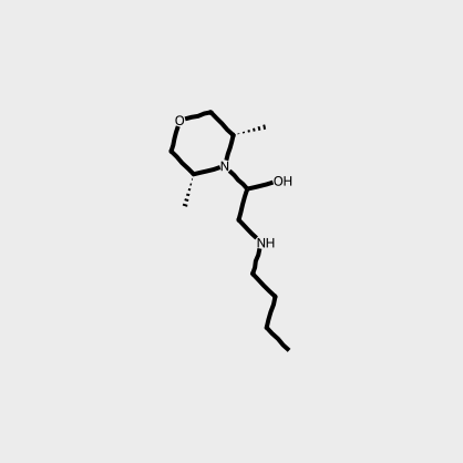 CCCCNCC(O)N1[C@H](C)COC[C@@H]1C